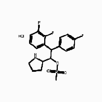 CS(=O)(=O)OC(C1CCCN1)C(c1ccc(F)cc1)c1cccc(F)c1F.Cl